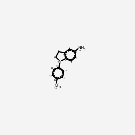 Nc1ccc2c(c1)CCN2c1ccc(C(F)(F)F)cc1